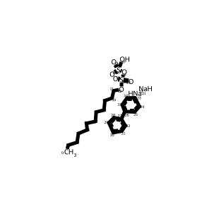 CCCCCCCCCCCCOS(=O)(=O)OS(=O)(=O)O.[NaH].[NaH].c1ccc(-c2ccccc2)cc1